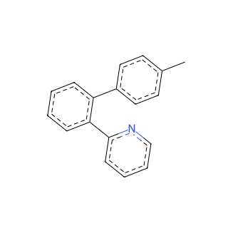 Cc1ccc(-c2ccccc2-c2ccccn2)cc1